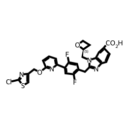 O=C(O)c1ccc2nc(Cc3cc(F)c(-c4cccc(OCc5csc(Cl)n5)n4)cc3F)n(C[C@@H]3CCO3)c2c1